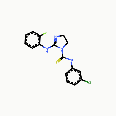 Fc1ccccc1NC1=NCCN1C(=S)Nc1cccc(Cl)c1